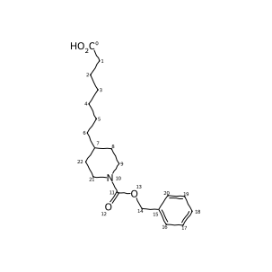 O=C(O)CCCCCCC1CCN(C(=O)OCc2ccccc2)CC1